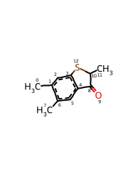 Cc1cc2c(cc1C)C(=O)C(C)S2